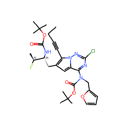 CCC#Cc1c(C[C@@H](NC(=O)OC(C)(C)C)[C@H](C)F)cc2c(N(Cc3ccco3)C(=O)OC(C)(C)C)nc(Cl)nn12